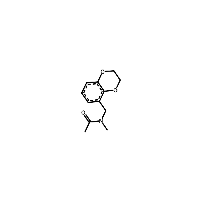 CC(=O)N(C)Cc1cccc2c1OCCO2